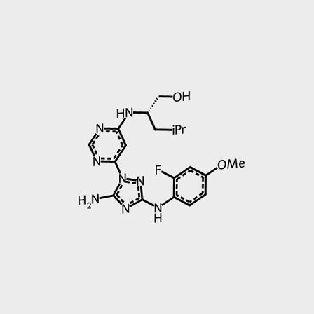 COc1ccc(Nc2nc(N)n(-c3cc(N[C@H](CO)CC(C)C)ncn3)n2)c(F)c1